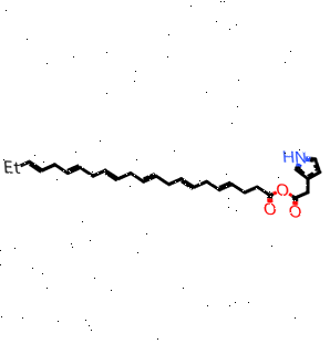 CCC=CCC=CCC=CCC=CCC=CCC=CCCC(=O)OC(=O)Cc1cc[nH]c1